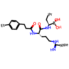 CCc1ccc(CCC(=O)N[C@@H](CCCNC(=N)NC)C(=O)N[C@@H](CC(C)C)B(O)O)cc1